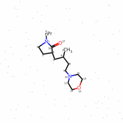 CCCN1CCC(CC(C)CCN2CCOCC2)C1=O